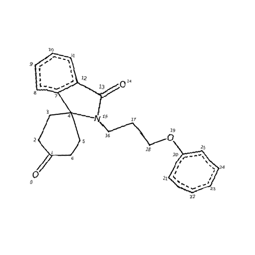 O=C1CCC2(CC1)c1ccccc1C(=O)N2CCCOc1ccccc1